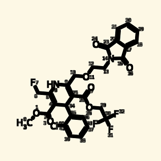 COC(=O)C1=C(CF)NC(COCCN2C(=O)c3ccccc3C2=O)=C(C(=O)OCC(F)(F)F)C1c1ccccc1Cl